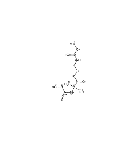 CC(C)(C)OC(=O)NCCOC(=O)C(C)(C)NC(=O)OC(C)(C)C